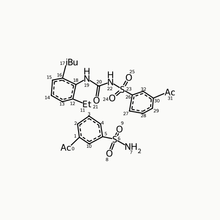 CC(=O)c1cccc(S(N)(=O)=O)c1.CCc1cccc(C(C)CC)c1NC(=O)NS(=O)(=O)c1cccc(C(C)=O)c1